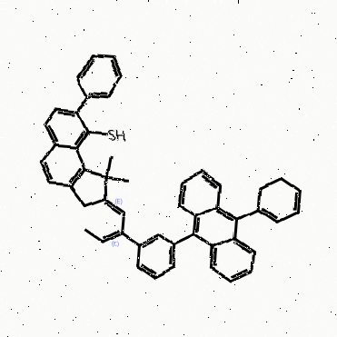 C/C=C(\C=C1/Cc2ccc3ccc(-c4ccccc4)c(S)c3c2C1(C)C)c1cccc(-c2c3ccccc3c(C3=CC=CCC3)c3ccccc23)c1